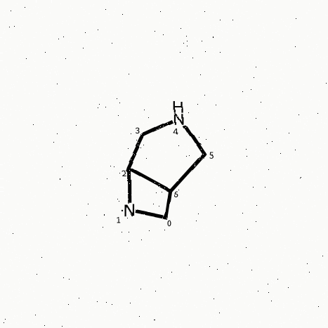 C1[N]C2CNCC12